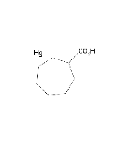 O=C(O)C1CCCCCC1.[Hg]